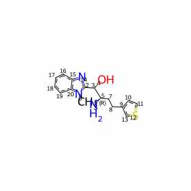 Cn1c(C(O)[C@H](N)CCc2ccsc2)nc2ccccc21